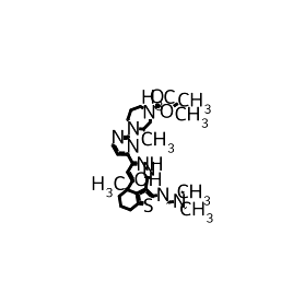 C[C@H]1CN(C(=O)OC(C)(C)C)CCCN1c1nccc(C(=N)/C=C(\O)[C@@]2(C)CCCc3sc(/N=C/N(C)C)c(C#N)c32)n1